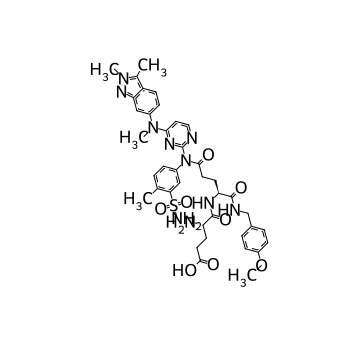 COc1ccc(CNC(=O)[C@H](CCC(=O)N(c2ccc(C)c(S(N)(=O)=O)c2)c2nccc(N(C)c3ccc4c(C)n(C)nc4c3)n2)NC(=O)[C@@H](N)CCC(=O)O)cc1